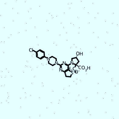 C[C@@]1(C(=O)O)C[C@@H](O)CN1c1nc(N2CCN(c3ccc(Cl)cc3)CC2)nc2c1[S+]([O-])CC2